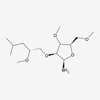 B[C@@H]1O[C@H](COC)C(OC)[C@@H]1OC[C@@H](CC(C)C)OC